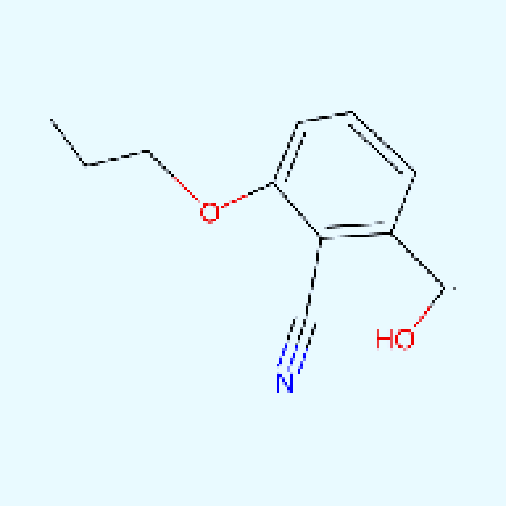 CCCOc1cccc([CH]O)c1C#N